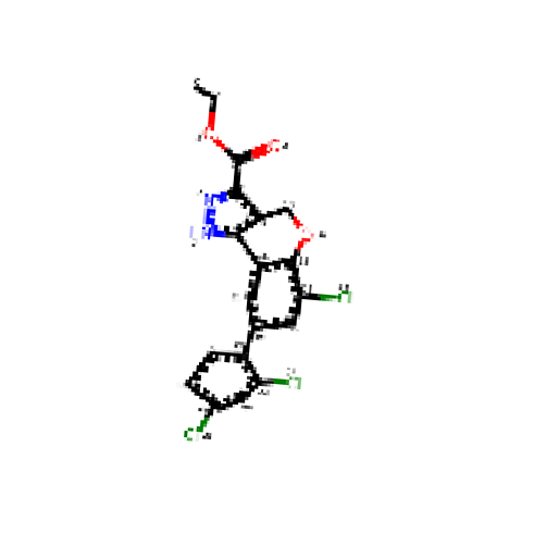 CCOC(=O)c1n[nH]c2c1COc1c(Cl)cc(-c3ccc(Cl)cc3Cl)cc1-2